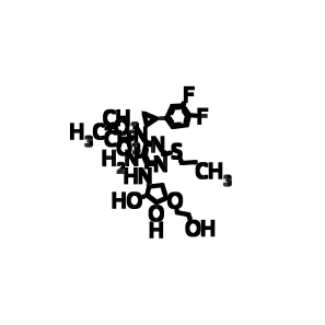 CCCSc1nc(N[C@@H]2C[C@H](OCCO)[C@@H](O)[C@H]2O)c(N)c(N(C(=O)OC(C)(C)C)[C@@H]2C[C@H]2c2ccc(F)c(F)c2)n1